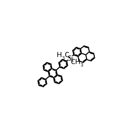 C[Si](C)(c1ccc(-c2c3ccccc3c(-c3ccccc3)c3ccccc23)cc1)c1ccc2c3c1CC=C1C=CC=C(C=C2)C13